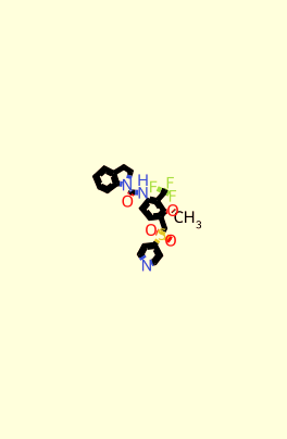 COc1c(CS(=O)(=O)c2ccncc2)ccc(NC(=O)N2CCc3ccccc32)c1C(F)(F)F